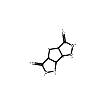 O=C1OOC2C1CC1C(=O)OOC12